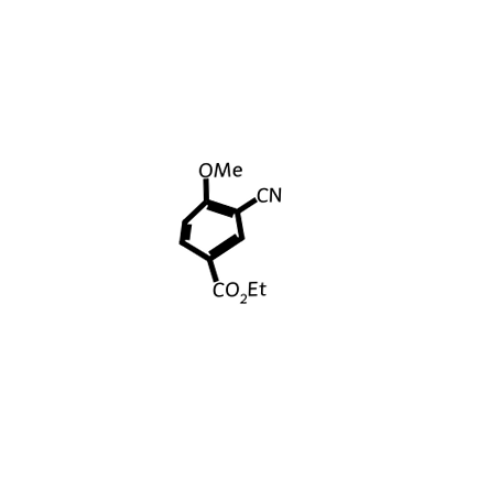 CCOC(=O)c1ccc(OC)c(C#N)c1